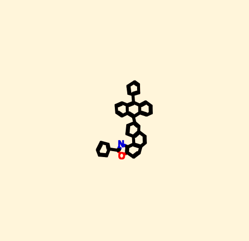 c1ccc(-c2nc3c(ccc4ccc5cc(-c6c7ccccc7c(-c7ccccc7)c7ccccc67)ccc5c43)o2)cc1